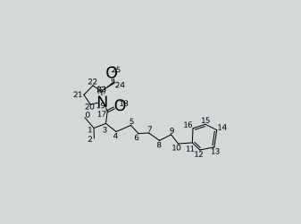 CC(C)C(CCCCCCCc1ccccc1)C(=O)N1CCC[C@H]1C=O